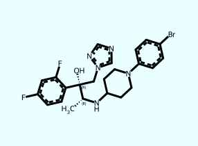 C[C@@H](NC1CCN(c2ccc(Br)cc2)CC1)[C@](O)(Cn1cncn1)c1ccc(F)cc1F